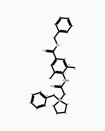 Cc1cc(C(=O)OCc2ccccc2)cc(C)c1NC(=O)C[N+]1(Cc2ccccc2)CCCC1